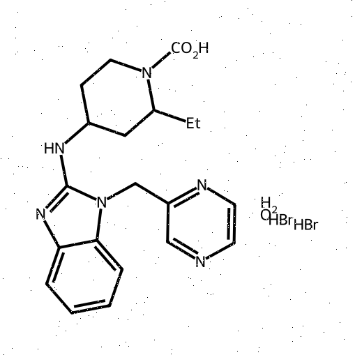 Br.Br.CCC1CC(Nc2nc3ccccc3n2Cc2cnccn2)CCN1C(=O)O.O